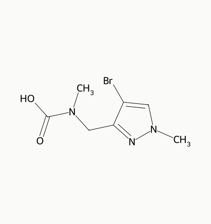 CN(Cc1nn(C)cc1Br)C(=O)O